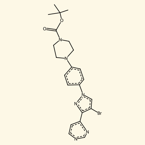 CC(C)(C)OC(=O)N1CCN(c2ccc(-n3cc(Br)c(-c4ccncn4)n3)cc2)CC1